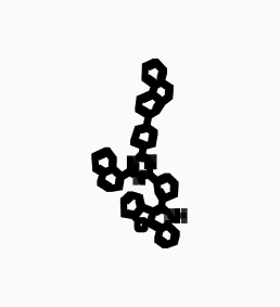 C1=CC2=c3oc4ccccc4c3=C(c3cccc(-c4nc(-c5ccc(-c6ccc7c(ccc8ccccc87)c6)cc5)nc(-c5cccc6ccccc56)n4)c3)NC2C=C1